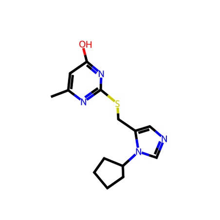 Cc1cc(O)nc(SCc2cncn2C2CCCC2)n1